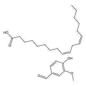 CCCCC/C=C\C/C=C\CCCCCCCC(=O)O.COc1cc(C=O)ccc1O